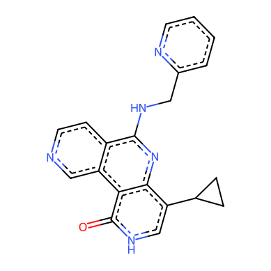 O=c1[nH]cc(C2CC2)c2nc(NCc3ccccn3)c3ccncc3c12